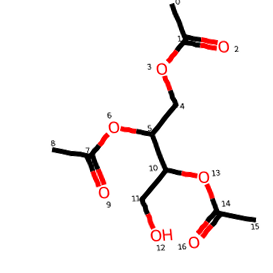 CC(=O)OCC(OC(C)=O)C(CO)OC(C)=O